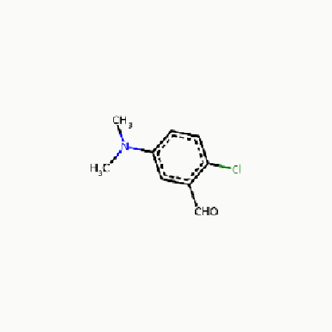 CN(C)c1ccc(Cl)c(C=O)c1